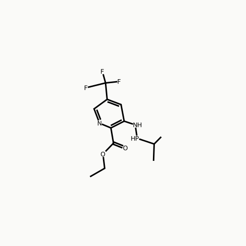 CCOC(=O)c1ncc(C(F)(F)F)cc1NPC(C)C